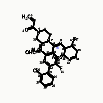 C=CC(=O)N1CCN(/C(=N/C2C(SC)N=CCC2C(C)C)c2cc(F)c(-c3ccccc3Cl)nc2NC=O)C(C)C1